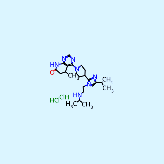 CC(C)NCCn1cc(C(C)C)nc1C1CCN(c2ncnc3c2C(C)CC(=O)N3)CC1.Cl.Cl